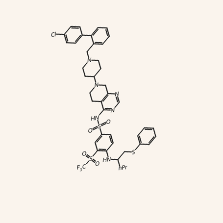 CCCC(CSc1ccccc1)Nc1ccc(S(=O)(=O)Nc2ncnc3c2CCN(C2CCN(Cc4ccccc4-c4ccc(Cl)cc4)CC2)C3)cc1S(=O)(=O)C(F)(F)F